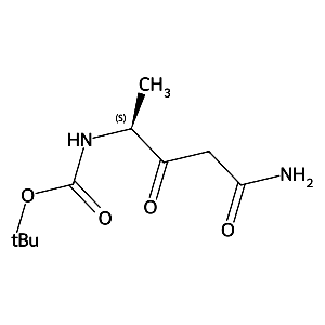 C[C@H](NC(=O)OC(C)(C)C)C(=O)CC(N)=O